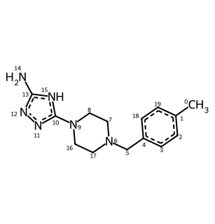 Cc1ccc(CN2CCN(c3nnc(N)[nH]3)CC2)cc1